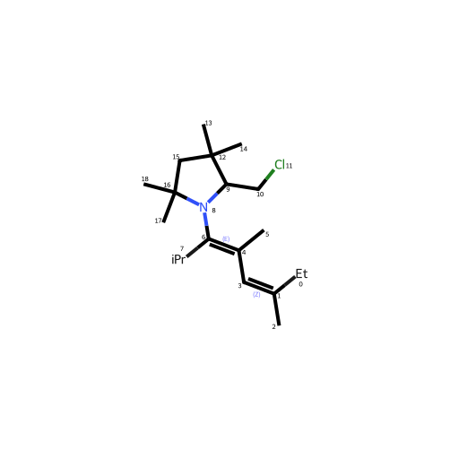 CC/C(C)=C\C(C)=C(/C(C)C)N1C(CCl)C(C)(C)CC1(C)C